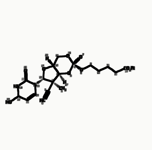 C#C[C@]1(C)[C@@H]2O[P@](=O)(OCCCCC(=O)OCC)OC[C@H]2O[C@H]1N1C=CC(O)NC1=O